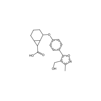 Cc1noc(-c2ccc(OC3CCCC4C(C(=O)O)C34)cc2)c1CO